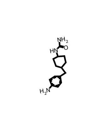 NC(=O)NC1CCC(Cc2ccc(N)cc2)CC1